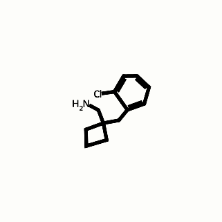 NCC1(Cc2ccccc2Cl)CCC1